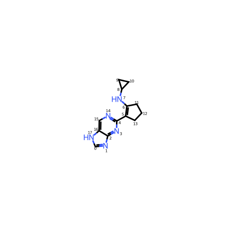 c1nc2nc(C3=C(NC4CC4)CCC3)ncc2[nH]1